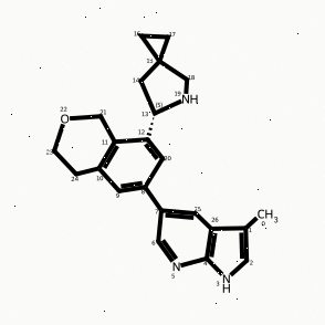 Cc1c[nH]c2ncc(-c3cc4c(c([C@@H]5CC6(CC6)CN5)c3)COCC4)cc12